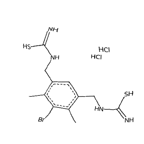 Cc1c(CNC(=N)S)cc(CNC(=N)S)c(C)c1Br.Cl.Cl